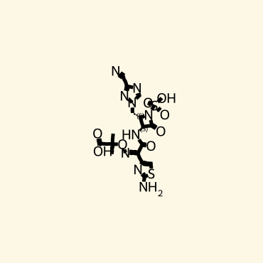 CC(C)(ON=C(C(=O)N[C@@H]1C(=O)N(S(=O)(=O)O)[C@H]1Cn1cnc(C#N)n1)c1csc(N)n1)C(=O)O